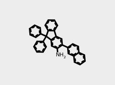 Nc1cc2c(cc1-c1ccc3ccccc3c1)-c1ccccc1C2(c1ccccc1)c1ccccc1